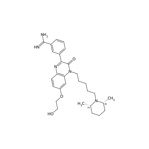 C[C@@H]1CCC[C@H](C)N1CCCCCn1c(=O)c(-c2cccc(C(=N)N)c2)nc2ccc(OCCO)cc21